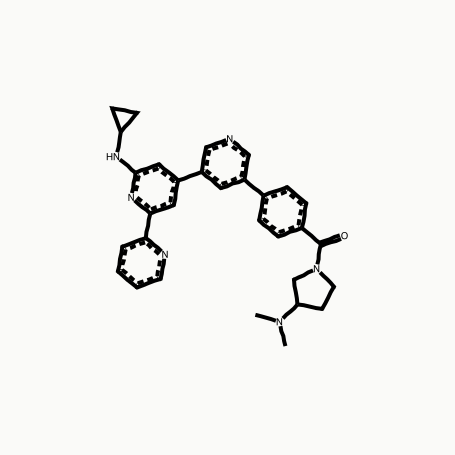 CN(C)C1CCN(C(=O)c2ccc(-c3cncc(-c4cc(NC5CC5)nc(-c5ccccn5)c4)c3)cc2)C1